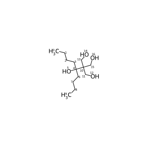 CCCCC(O)(CCCC)C(CO)(CO)CO